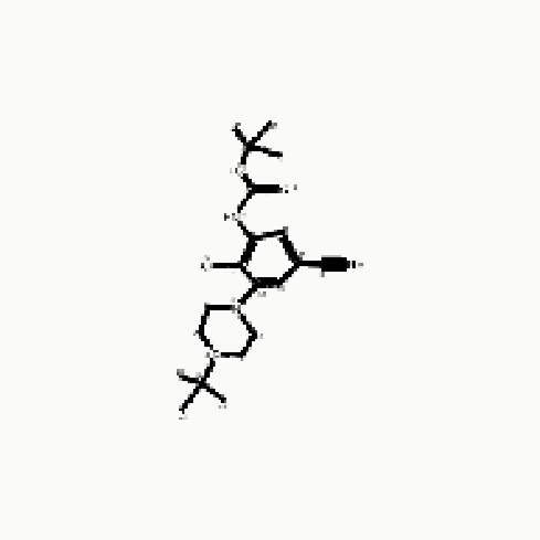 CC(C)(C)OC(=O)Nc1cc(C#N)cc(N2CCN(C(C)(C)C)CC2)c1Cl